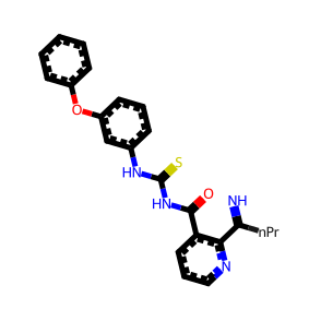 CCCC(=N)c1ncccc1C(=O)NC(=S)Nc1cccc(Oc2ccccc2)c1